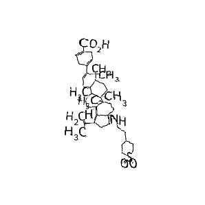 C=C(C)[C@@H]1CC[C@]2(NCCC3CCS(=O)(=O)CC3)CC[C@]3(C)[C@H](CCC4[C@@]5(C)CC=C(C6=CCC(C(=O)O)=CC6)C(C)(C)C5CC[C@]43C)C12